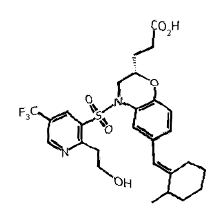 CC1CCCC/C1=C\c1ccc2c(c1)N(S(=O)(=O)c1cc(C(F)(F)F)cnc1CCO)C[C@H](CCC(=O)O)O2